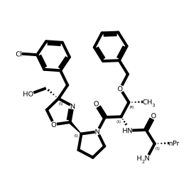 CCC[C@H](N)C(=O)N[C@H](C(=O)N1CCC[C@H]1C1=N[C@](CO)(Cc2cccc(Cl)c2)CO1)[C@@H](C)OCc1ccccc1